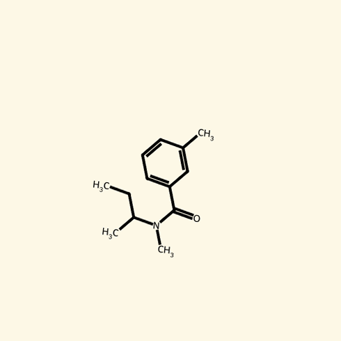 CCC(C)N(C)C(=O)c1cccc(C)c1